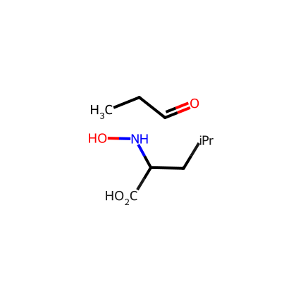 CC(C)CC(NO)C(=O)O.CCC=O